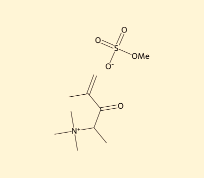 C=C(C)C(=O)C(C)[N+](C)(C)C.COS(=O)(=O)[O-]